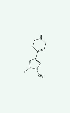 Cn1cc(C2=CCNCC2)cc1F